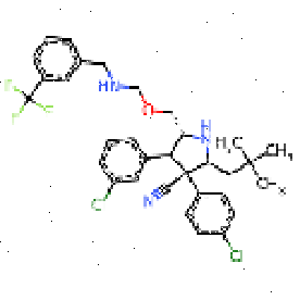 CC(C)(C)C[C@@H]1N[C@@H](COCNCc2cccc(C(F)(F)F)c2)[C@H](c2cccc(Cl)c2)[C@@]1(C#N)c1ccc(Cl)cc1